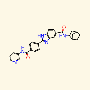 O=C(Nc1cccnc1)c1ccc(-c2nc3cc(C(=O)NC4CC5CCC4C5)ccc3[nH]2)cc1